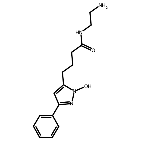 NCCNC(=O)CCCc1cc(-c2ccccc2)nn1O